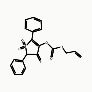 C=CCOC(=O)OC1=C(c2ccccc2)S(=O)(=O)C(c2ccccc2)C1=O